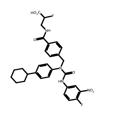 O=C(NCC(F)C(=O)O)c1ccc(CN(C(=O)Nc2ccc(F)c([N+](=O)[O-])c2)c2ccc(C3CCCCC3)cc2)cc1